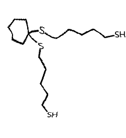 SCCCCCSC1(SCCCCCS)CCCCC1